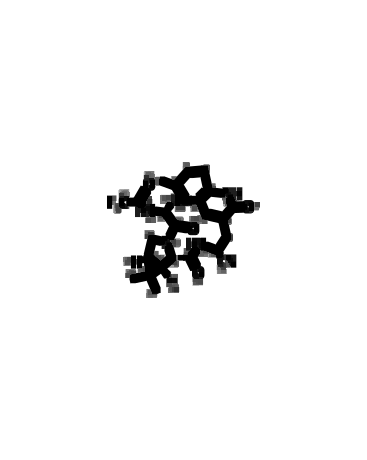 Cc1ccc2[nH]c(=O)c(C[C@@H](C#N)NC(=O)[C@@H]3[C@H]4[C@H](CN3C(=O)[C@@H](NC(=O)C(F)(F)F)C(C)(C)C)C4(C)C)cc2c1